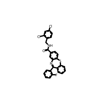 O=C(NCc1ccc(Cl)cc1Cl)c1ccc2c(c1)N=C(c1ccccc1F)c1ccccc1S2